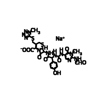 Cn1nnnc1SCC1=C(C(=O)[O-])N2C(=O)C(NC(=O)C(NC(=O)Nc3cnc(NC=O)n(C)c3=O)c3ccc(O)cc3)[C@@H]2SC1.[Na+]